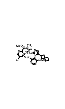 COc1ncnc(OC)c1-n1c(NS(=O)(=O)[C@@H](C)[C@H](OC)c2ncc(Cl)cn2)nnc1C1CC2(CCC2)C1